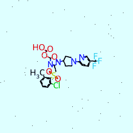 Cc1cccc(Cl)c1S(=O)(=O)CC1=NC(OC(=O)O)ON1C1CCN(c2ccc(C(F)(F)F)cn2)CC1